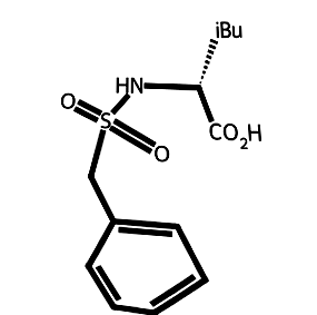 CCC(C)[C@@H](NS(=O)(=O)Cc1ccccc1)C(=O)O